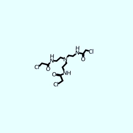 O=C(CCl)NCCN(CCNC(=O)CCl)CCNC(=O)CCl